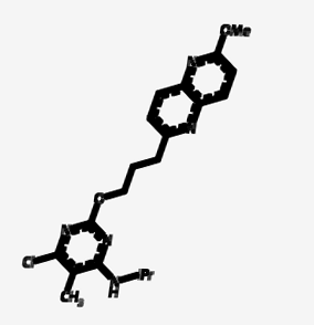 COc1ccc2nc(CCCOc3nc(Cl)c(C)c(NC(C)C)n3)ccc2n1